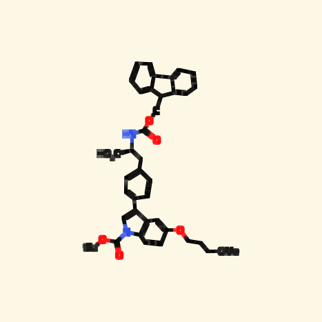 COCCCOc1ccc2c(c1)c(-c1ccc(C[C@H](NC(=O)OCC3c4ccccc4-c4ccccc43)C(=O)O)cc1)cn2C(=O)OC(C)(C)C